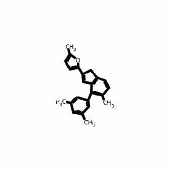 Cc1cc(C)cc(-c2c(C)ccc3c2C=C(c2ccc(C)o2)C3)c1